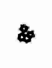 c1ccc2c(c1)ccc1occc12.c1cnccn1